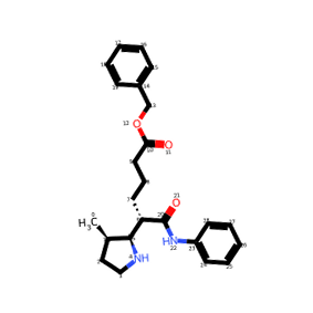 C[C@@H]1CCN[C@@H]1[C@H](CCCC(=O)OCc1ccccc1)C(=O)Nc1ccccc1